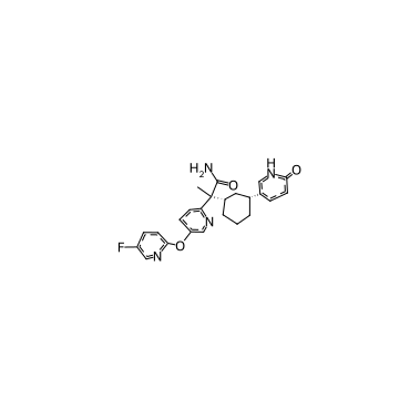 CC(C(N)=O)(c1ccc(Oc2ccc(F)cn2)cn1)[C@H]1CCC[C@@H](c2ccc(=O)[nH]c2)C1